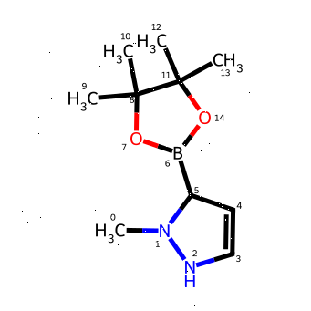 CN1NC=CC1B1OC(C)(C)C(C)(C)O1